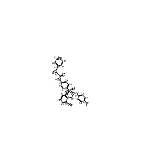 O=C(Nc1ccc(S(=O)(=O)N(Cc2ccc(F)cc2)Cc2c(Br)cccc2Br)cc1)C1CC1c1ccncc1